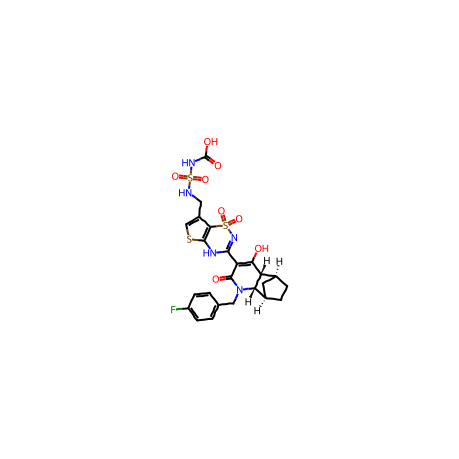 O=C(O)NS(=O)(=O)NCc1csc2c1S(=O)(=O)N=C(C1=C(O)[C@@H]3[C@H]4CC[C@H](C4)[C@@H]3N(Cc3ccc(F)cc3)C1=O)N2